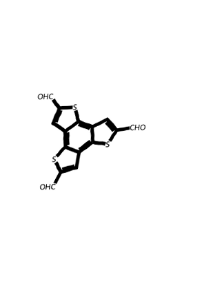 O=Cc1cc2c(s1)c1cc(C=O)sc1c1cc(C=O)sc21